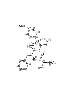 CCC(C)CN(CC(O)C(Cc1ccccc1)NC(=O)C(NC(C)=O)C(C)C)S(=O)(=O)c1ccc(OC)cc1